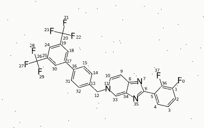 Fc1cccc(-c2nc3ccn(Cc4ccc(-c5cc(C(F)(F)F)cc(C(F)(F)F)c5)cc4)cc-3n2)c1F